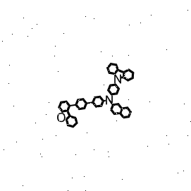 c1ccc2cc(N(c3ccc(-c4ccc(-c5cccc6oc7ccccc7c56)cc4)cc3)c3ccc(-n4c5ccccc5c5ccccc54)cc3)ccc2c1